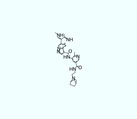 CN/C=C(\C(C)=N)c1cn2ncc(C(=O)Nc3cc(C(=O)NCCN4CC5CCC4C5)cnc3C)c2s1